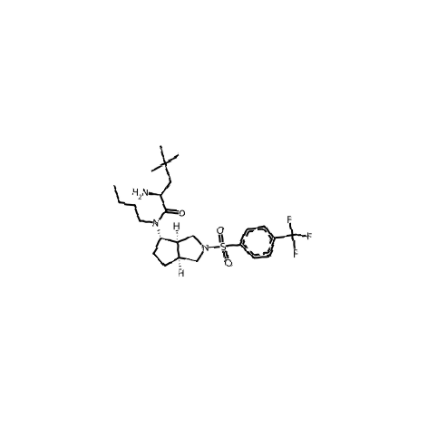 CCCCN(C(=O)[C@@H](N)CC(C)(C)C)[C@H]1CC[C@@H]2CN(S(=O)(=O)c3ccc(C(F)(F)F)cc3)C[C@@H]21